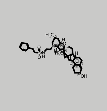 C[C@H]1C[C@H]2O[C@]3(CC[C@H]4[C@@H]5CCC6=C[C@@H](O)CC[C@]6(C)[C@H]5CC45CC53C)[C@H](C)[C@@H]2N(CCNS(=O)(=O)CCc2ccccc2)C1